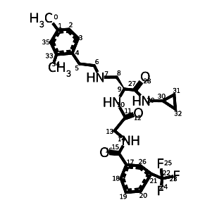 Cc1ccc(CCNC[C@H](NC(=O)CNC(=O)c2cccc(C(F)(F)F)c2)C(=O)NC2CC2)c(C)c1